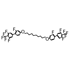 Fc1cc(OCCCCCCCCCCOc2ccc(-c3cc(F)c(C(F)(F)F)c(F)c3)c(F)c2)ccc1-c1cc(F)c(C(F)(F)F)c(F)c1